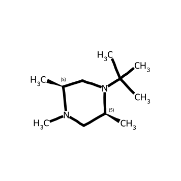 C[C@H]1CN(C(C)(C)C)[C@@H](C)CN1C